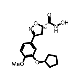 COc1ccc(C2=NO[C@H](C(=O)NO)C2)cc1OC1CCCC1